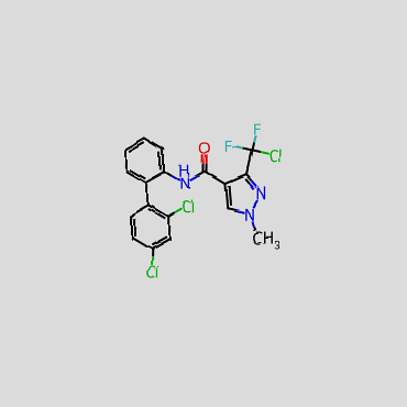 Cn1cc(C(=O)Nc2ccccc2-c2ccc(Cl)cc2Cl)c(C(F)(F)Cl)n1